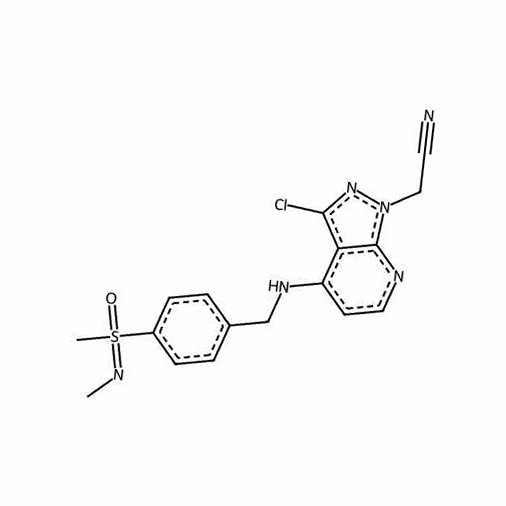 CN=S(C)(=O)c1ccc(CNc2ccnc3c2c(Cl)nn3CC#N)cc1